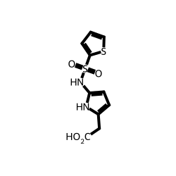 O=C(O)Cc1ccc(NS(=O)(=O)c2cccs2)[nH]1